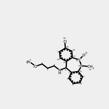 CC(C)OCCCNC1c2ccccc2N(C)[S+]([O-])c2cc(Cl)ccc21